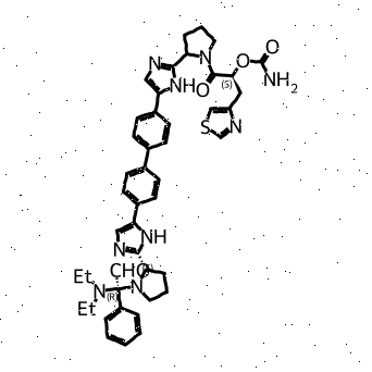 CCN(CC)[C@](C=O)(c1ccccc1)N1CCC[C@H]1c1ncc(-c2ccc(-c3ccc(-c4cnc(C5CCCN5C(=O)[C@H](Cc5cscn5)OC(N)=O)[nH]4)cc3)cc2)[nH]1